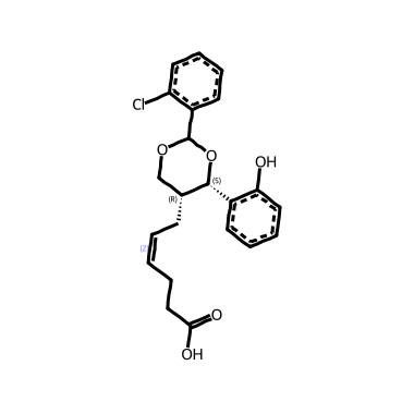 O=C(O)CC/C=C\C[C@@H]1COC(c2ccccc2Cl)O[C@@H]1c1ccccc1O